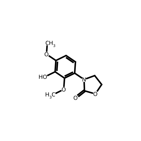 COc1ccc(N2CCOC2=O)c(OC)c1O